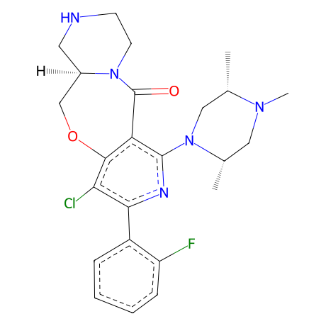 C[C@H]1CN(c2nc(-c3ccccc3F)c(Cl)c3c2C(=O)N2CCNC[C@@H]2CO3)[C@@H](C)CN1C